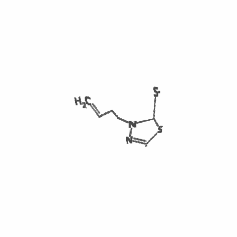 C=CCN1N=[C]SC1[S]